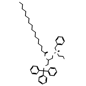 CCCCCCCCCCCCCCCC(=O)OC(COC(c1ccccc1)(c1ccccc1)c1ccccc1)COP(=O)(CCBr)Cc1ccccc1